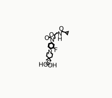 O=C(NCC1CN(c2ccc(N3CCC4(CC3)CS(O)(O)C4)c(F)c2)C(=O)O1)C1CC1